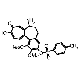 COc1c(OS(=O)(=O)c2ccc(C)cc2)cc2c(c1OC)-c1ccc(O)c(=O)cc1[C@@H](N)CC2